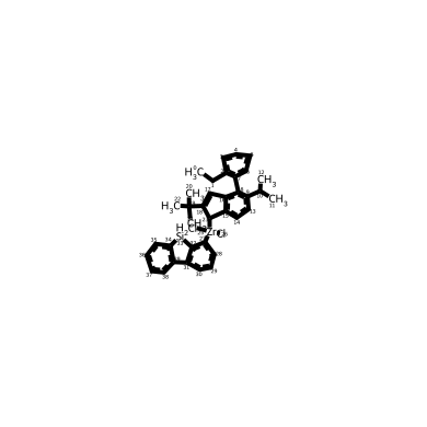 CCc1ccccc1-c1c(C(C)C)ccc2c1C=C(C(C)(C)C)[CH]2[Zr]([Cl])([Cl])[c]1cccc2c1[SiH2]c1ccccc1-2